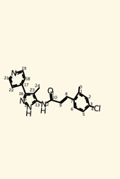 Cc1cc(Cl)ccc1C=CC(=O)Nc1[nH]nc(-c2ccncc2)c1C